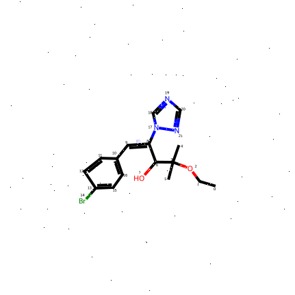 CCOC(C)(C)C(O)/C(=C\c1ccc(Br)cc1)n1cncn1